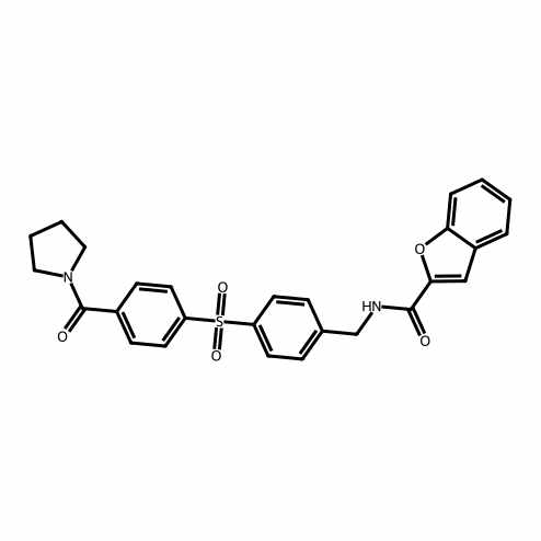 O=C(NCc1ccc(S(=O)(=O)c2ccc(C(=O)N3CCCC3)cc2)cc1)c1cc2ccccc2o1